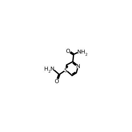 NC(=O)C1=NC=CS(C(N)=O)=C1